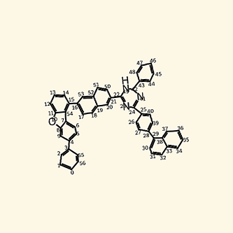 c1ccc(-c2ccc3c(c2)oc2cccc(-c4ccc5cc(C6=NC(c7ccc(-c8cccc9ccccc89)cc7)=NC(c7ccccc7)N6)ccc5c4)c23)cc1